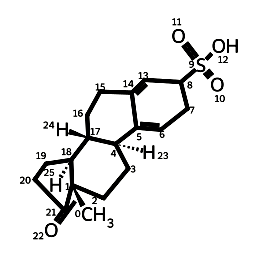 C[C@]12CC[C@@H]3C4=CCC(S(=O)(=O)O)C=C4CC[C@H]3[C@@H]1CCC2=O